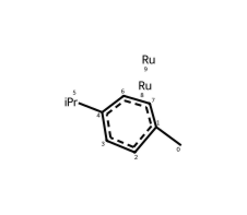 Cc1ccc(C(C)C)cc1.[Ru].[Ru]